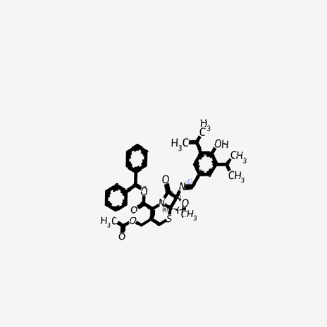 CO[C@@]1(/N=C/c2cc(C(C)C)c(O)c(C(C)C)c2)C(=O)N2C(C(=O)OC(c3ccccc3)c3ccccc3)=C(COC(C)=O)CS[C@@H]21